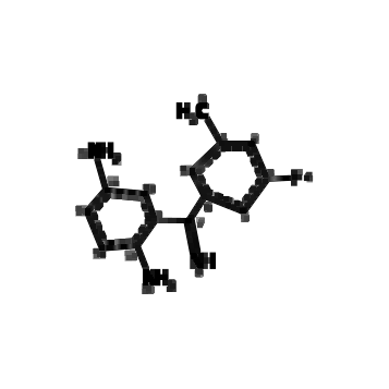 Cc1cc(F)cc(C(=N)c2cc(N)ccc2N)c1